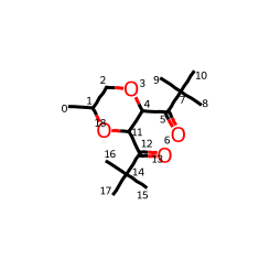 CC1COC(C(=O)C(C)(C)C)C(C(=O)C(C)(C)C)O1